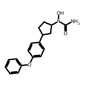 NC(=O)N(O)C1CCC(c2ccc(Oc3ccccc3)cc2)C1